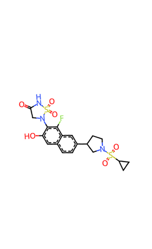 O=C1CN(c2c(O)cc3ccc(C4CCN(S(=O)(=O)C5CC5)C4)cc3c2F)S(=O)(=O)N1